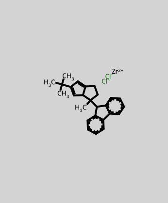 CC(C)(C)C1=CC2C(=C1)CCC2(C)C1c2ccccc2-c2ccccc21.[Cl-].[Cl-].[Zr+2]